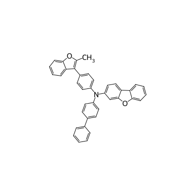 Cc1oc2ccccc2c1-c1ccc(N(c2ccc(-c3ccccc3)cc2)c2ccc3c(c2)oc2ccccc23)cc1